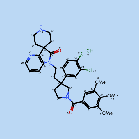 COc1cc(C(=O)N2CCC(CCNC(=O)C3(c4ccccn4)CCNCC3)(c3ccc(Cl)c(Cl)c3)C2)cc(OC)c1OC.Cl